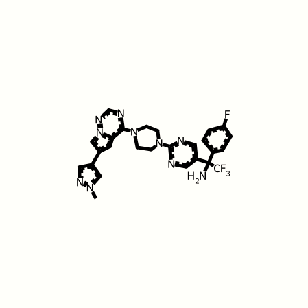 Cn1cc(-c2cc3c(N4CCN(c5ncc(C(N)(c6ccc(F)cc6)C(F)(F)F)cn5)CC4)ncnn3c2)cn1